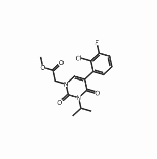 COC(=O)Cn1cc(-c2cccc(F)c2Cl)c(=O)n(C(C)C)c1=O